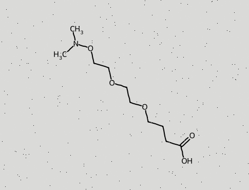 CN(C)OCCOCCOCCCC(=O)O